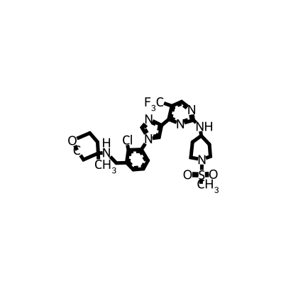 CC1(NCc2cccc(-n3cnc(-c4nc(NC5CCN(S(C)(=O)=O)CC5)ncc4C(F)(F)F)c3)c2Cl)CCOCC1